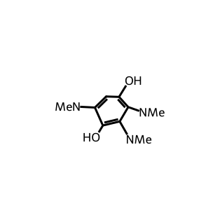 CNc1cc(O)c(NC)c(NC)c1O